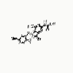 COc1ccc(C#N)cc1Cn1nc(Br)c2nc(NC(=O)O)nc(O)c21